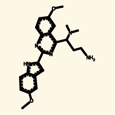 COc1ccc2[nH]c(-c3nc(C(CCN)N(C)C)c4cc(OC)ccc4n3)cc2c1